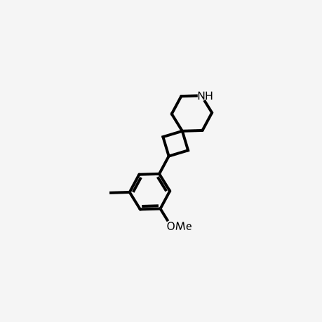 COc1cc(C)cc(C2CC3(CCNCC3)C2)c1